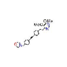 COc1ncnc(CCc2ccc(C#Cc3ccc(CN4CCOCC4)cc3)cc2)c1OC